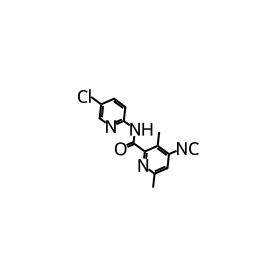 [C-]#[N+]c1cc(C)nc(C(=O)Nc2ccc(Cl)cn2)c1C